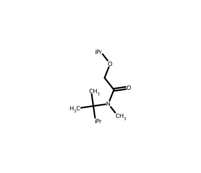 CC(C)OCC(=O)N(C)C(C)(C)C(C)C